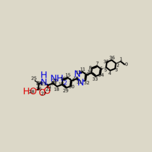 CC[C@H]1CC[C@H](c2ccc(-c3cnc(-c4ccc(C[C@H](N)C(=O)N[C@H](C)C(=O)O)cc4)nc3)cc2)CC1